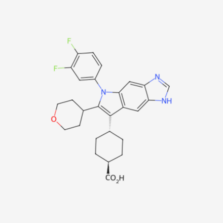 O=C(O)[C@H]1CC[C@H](c2c(C3CCOCC3)n(-c3ccc(F)c(F)c3)c3cc4nc[nH]c4cc32)CC1